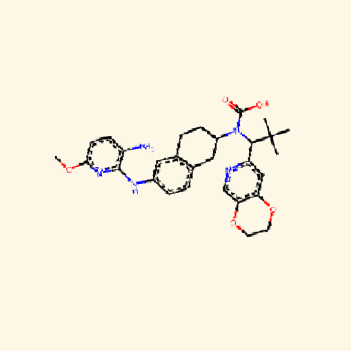 COc1ccc(N)c(Nc2ccc3c(c2)CCC(N(C(=O)O)C(c2cc4c(cn2)OCCO4)C(C)(C)C)C3)n1